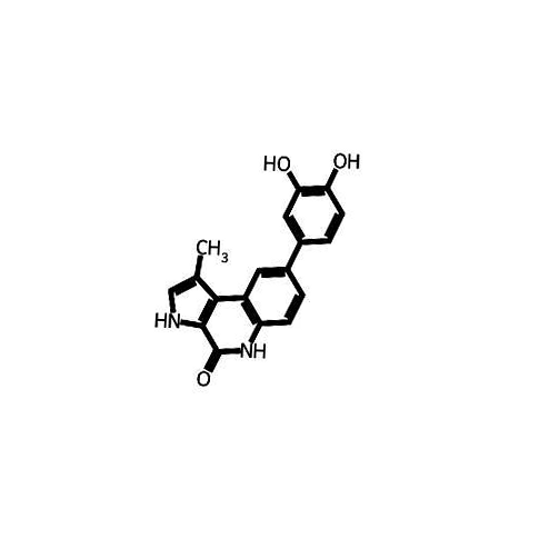 Cc1c[nH]c2c(=O)[nH]c3ccc(-c4ccc(O)c(O)c4)cc3c12